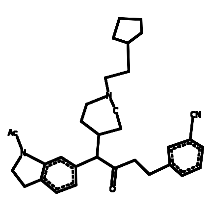 CC(=O)N1CCc2ccc(C(C(=O)CCc3cccc(C#N)c3)C3CCN(CCC4CCCC4)CC3)cc21